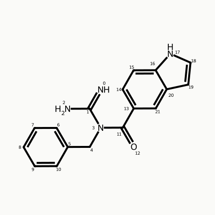 N=C(N)N(Cc1ccccc1)C(=O)c1ccc2[nH]ccc2c1